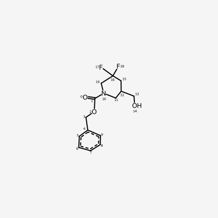 O=C(OCc1ccccc1)N1CC(CO)CC(F)(F)C1